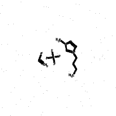 C=CF.CCCC[n+]1ccn(C)c1.F[B-](F)(F)F